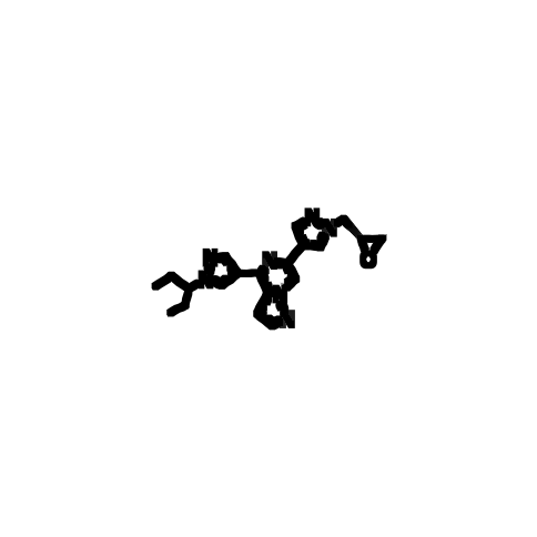 CCC(CC)n1cc(-c2nc(-c3cnn(C[C@H]4CO4)c3)cn3nccc23)cn1